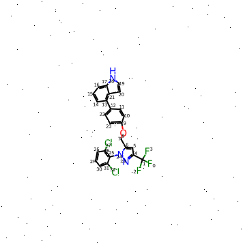 FC(F)(F)c1cc(COc2ccc(-c3cccc4[nH]ccc34)cc2)n(-c2c(Cl)cccc2Cl)n1